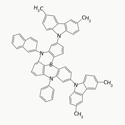 Cc1ccc2c(c1)c1cc(C)ccc1n2-c1ccc2c(c1)N(c1ccccc1)c1cccc3c1B2c1ccc(-n2c4ccc(C)cc4c4cc(C)ccc42)cc1N3c1ccc2ccccc2c1